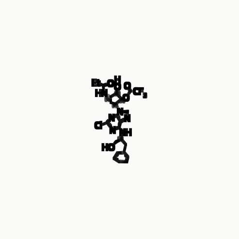 CCC(=O)N[C@H]1C[C@@H](n2cnc3c(N[C@H](CO)Cc4ccccc4)nc(Cl)nc32)[C@H](OC(=O)C(F)(F)F)[C@@H]1O